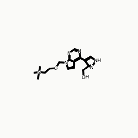 C[Si](C)(C)CCOCn1ccc2c(-c3c[nH]nc3CO)ncnc21